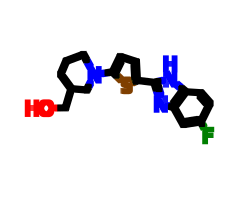 OCC1CCCN(c2ccc(-c3nc4cc(F)ccc4[nH]3)s2)C1